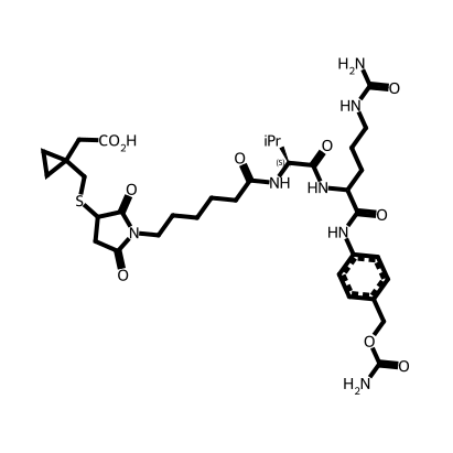 CC(C)[C@H](NC(=O)CCCCCN1C(=O)CC(SCC2(CC(=O)O)CC2)C1=O)C(=O)NC(CCCNC(N)=O)C(=O)Nc1ccc(COC(N)=O)cc1